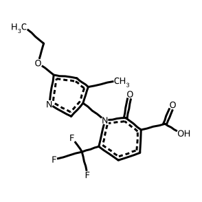 CCOc1cc(C)c(-n2c(C(F)(F)F)ccc(C(=O)O)c2=O)cn1